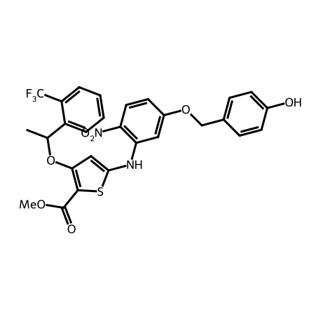 COC(=O)c1sc(Nc2cc(OCc3ccc(O)cc3)ccc2[N+](=O)[O-])cc1OC(C)c1ccccc1C(F)(F)F